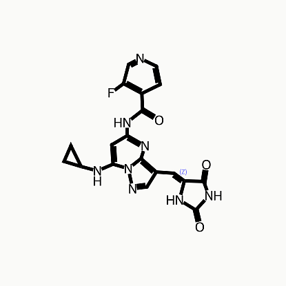 O=C1NC(=O)/C(=C/c2cnn3c(NC4CC4)cc(NC(=O)c4ccncc4F)nc23)N1